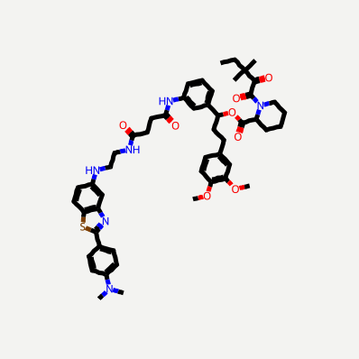 CCC(C)(C)C(=O)C(=O)N1CCCCC1C(=O)OC(CCc1ccc(OC)c(OC)c1)c1cccc(NC(=O)CCC(=O)NCCNc2ccc3sc(-c4ccc(N(C)C)cc4)nc3c2)c1